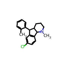 Cc1ccccc1C1c2cc(Cl)ccc2C2C1CCCN2C